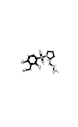 COC[C@@H]1CCCN1S(=O)(=O)c1ccc(Cl)c(CBr)c1Cl